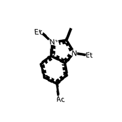 CCn1c(C)[n+](CC)c2ccc(C(C)=O)cc21